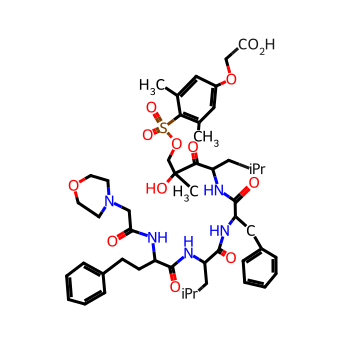 Cc1cc(OCC(=O)O)cc(C)c1S(=O)(=O)OCC(C)(O)C(=O)C(CC(C)C)NC(=O)C(Cc1ccccc1)NC(=O)C(CC(C)C)NC(=O)C(CCc1ccccc1)NC(=O)CN1CCOCC1